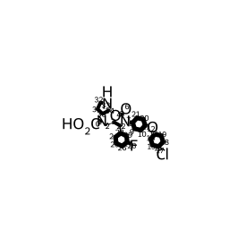 O=C(O)N(C[C@@H]1OC(=O)N(c2ccc(Oc3ccc(Cl)cc3)cc2)[C@H]1c1cccc(F)c1)C1CCNC1